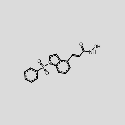 O=C(C=Cc1cccc2c1ccn2S(=O)(=O)c1ccccc1)NO